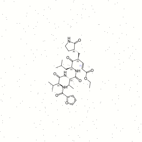 CCOC(=O)/C=C/[C@H](C[C@@H]1CCNC1=O)C(=O)[C@H](CC(C)C)NC(=O)[C@@H](NC(=O)[C@@H](NC(=O)c1ccco1)C(C)C)C(C)C